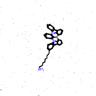 NCCCCCCCCc1ccc2c(c1)c1cccc3c1n2-c1cccc2c1B3c1cccc3c4ccccc4n-2c13